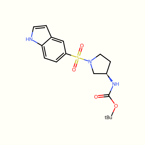 CC(C)(C)OC(=O)N[C@@H]1CCN(S(=O)(=O)c2ccc3[nH]ccc3c2)C1